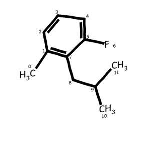 Cc1cccc(F)c1CC(C)C